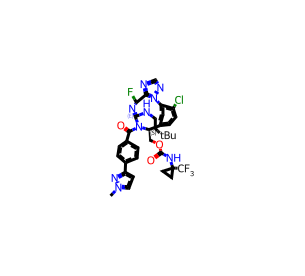 Cn1ccc(-c2ccc(C(=O)N3/C(NCCC(C)(C)C)=N/C(F)c4ncnn4-c4cc(ccc4Cl)[C@H]3COC(=O)NC3(C(F)(F)F)CC3)cc2)n1